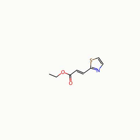 CCOC(=O)C=Cc1nccs1